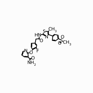 Cc1sc(NC(=O)Cc2ccc(Oc3ncccc3C(N)=O)c(F)c2)nc1-c1ccc(S(C)(=O)=O)cc1